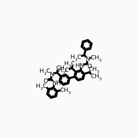 Cc1cccc(C)c1NC(=O)N(C)C(C)c1cccc(-c2ccc(C(C)C)c(NC(=O)N(C)C(C)c3ccccc3)c2C(C)C)c1